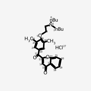 CCCCN(CCCC)CCOc1c(C)cc(C(=O)c2cc(=O)c3ccccc3o2)cc1C.Cl